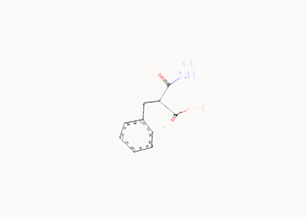 [CH2]NC(=O)C(Cc1ccccc1)C(=O)O